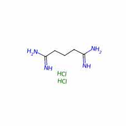 Cl.Cl.N=C(N)CCCC(=N)N